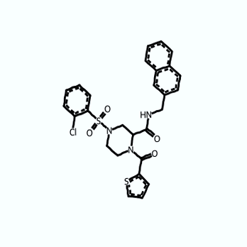 O=C(NCc1ccc2ccccc2c1)C1CN(S(=O)(=O)c2ccccc2Cl)CCN1C(=O)c1cccs1